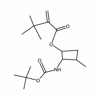 C=C(C(=O)OC1CC(C)C1NC(=O)OC(C)(C)C)C(C)(C)C